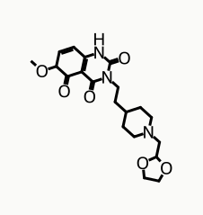 COC1C=Cc2[nH]c(=O)n(CCC3CCN(CC4OCCO4)CC3)c(=O)c2C1=O